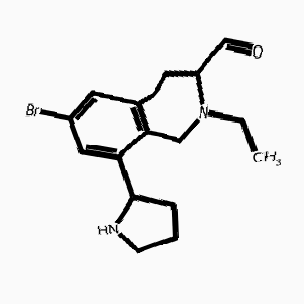 CCN1Cc2c(cc(Br)cc2C2CCCN2)CC1C=O